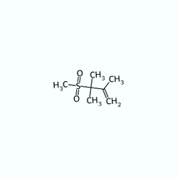 C=C(C)C(C)(C)S(C)(=O)=O